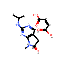 CC(C)Nc1ncc2c(n1)N(C)C(=O)C2.O=C(O)/C=C\C(=O)O